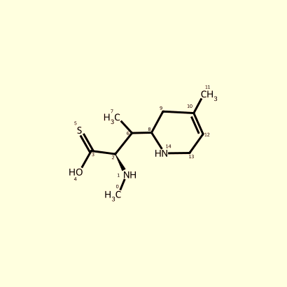 CN[C@@H](C(O)=S)C(C)C1CC(C)=CCN1